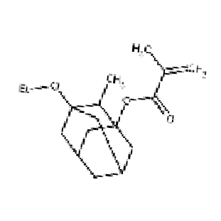 C=C(C)C(=O)OC12CC3CC(CC(OCC)(C3)C1C)C2